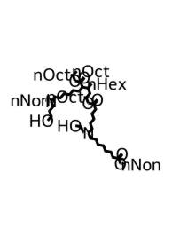 CCCCCCCCCOC(=O)CCCCCCCN(CCO)CCCCCC(=O)OC(CCCCCCCC)CC(CCCCCC)C(CCCCCCN(CCCO)CCCCCCCCC)C(=O)OC(CCCCCCCC)CCCCCCCC